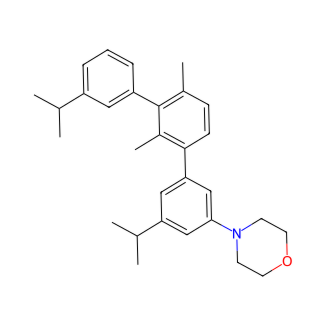 Cc1ccc(-c2cc(C(C)C)cc(N3CCOCC3)c2)c(C)c1-c1cccc(C(C)C)c1